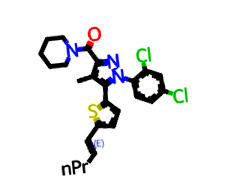 CCC/C=C/c1ccc(-c2c(C)c(C(=O)N3CCCCC3)nn2-c2ccc(Cl)cc2Cl)s1